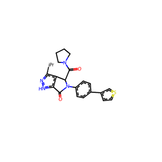 CC(C)c1n[nH]c2c1C(C(=O)N1CCCC1)N(c1ccc(-c3ccsc3)cc1)C2=O